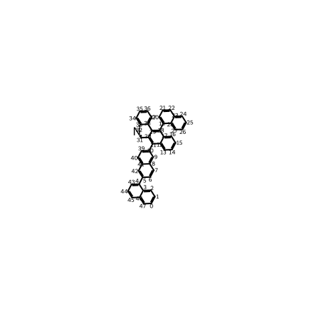 c1ccc2c(-c3ccc4cc(-c5c6ccccc6c(-c6cccc7ccccc67)c6c5cnc5ccccc56)ccc4c3)cccc2c1